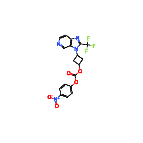 O=C(Oc1ccc([N+](=O)[O-])cc1)OC1CC(n2c(C(F)(F)F)nc3ccncc32)C1